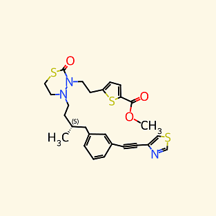 COC(=O)c1ccc(CCN2C(=O)SCCN2CC[C@@H](C)Cc2cccc(C#Cc3cscn3)c2)s1